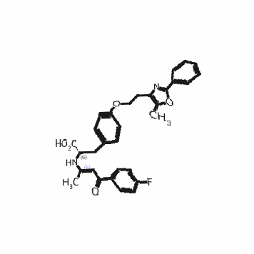 C/C(=C\C(=O)c1ccc(F)cc1)N[C@@H](Cc1ccc(OCCc2nc(-c3ccccc3)oc2C)cc1)C(=O)O